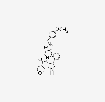 COc1ccc(CN2CCC3(CCN(C(C(=O)C4CCOCC4)[C@@H]4CNC[C@@H]4c4ccccc4)CC3)C2=O)cc1